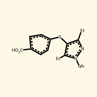 CCCn1nc(CC)c(Sc2ccc(C(=O)O)cc2)c1CC